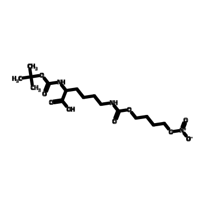 CC(C)(C)OC(=O)NC(CCCCNC(=O)OCCCCO[N+](=O)[O-])C(=O)O